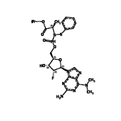 CC(C)OC(=O)[C@@H](C)N(Sc1ccccc1)[PH](=O)OC[C@H]1O[C@@H](n2cnc3c(N(C)C)nc(N)nc32)[C@H](F)[C@@H]1O